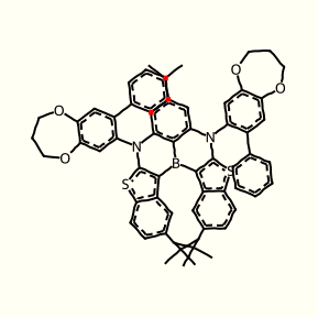 CC(C)c1cc2c3c(c1)N(c1cc4c(cc1-c1ccccc1)OCCCO4)c1sc4ccc(C(C)(C)C)cc4c1B3c1c(sc3ccc(C(C)(C)C)cc13)N2c1cc2c(cc1-c1ccccc1)OCCCO2